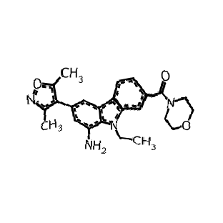 CCn1c2cc(C(=O)N3CCOCC3)ccc2c2cc(-c3c(C)noc3C)cc(N)c21